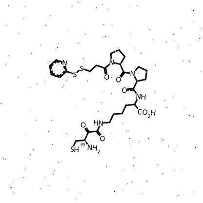 N[C@@H](CS)C(=O)C(=O)NCCCCC(NC(=O)C1CCCN1C(=O)C1CCCN1C(=O)CCSSc1ccccn1)C(=O)O